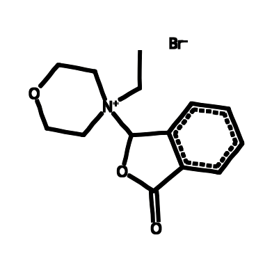 CC[N+]1(C2OC(=O)c3ccccc32)CCOCC1.[Br-]